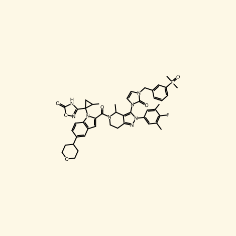 Cc1cc(-n2nc3c(c2-n2ccn(Cc4cccc(P(C)(C)=O)c4)c2=O)C(C)N(C(=O)c2cc4cc(C5CCOCC5)ccc4n2C2(c4noc(=O)[nH]4)CC2C)CC3)cc(C)c1F